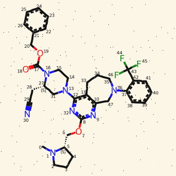 CN1CCC[C@H]1COc1nc2c(c(N3CCN(C(=O)OCc4ccccc4)[C@@H](CC#N)C3)n1)CCCN(c1ccccc1C(F)(F)F)C2